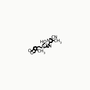 Cc1cc(-c2ncc(CN(CCO)CCc3ccc4c(c3C)COC4=O)s2)ncc1C#N